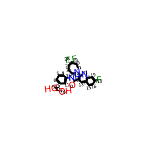 O=C(Nc1cccc(B(O)O)c1)c1cc2ccc(F)cc2nc1N1CCCC(F)(F)CC1